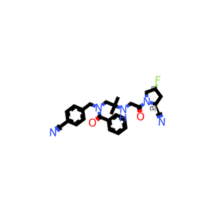 CC(C)(CN(Cc1ccc(C#N)cc1)C(=O)c1ccccc1)NCC(=O)N1C[C@@H](F)C[C@H]1C#N